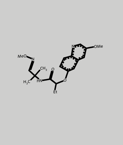 CCC(Oc1ccc2ncc(OC)cc2c1)C(=O)NC(C)(C)C=NOC